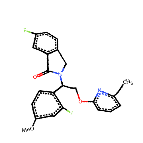 COc1ccc(C(COc2cccc(C)n2)N2Cc3ccc(F)cc3C2=O)c(F)c1